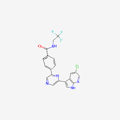 O=C(NCC(F)(F)F)c1ccc(-c2cncc(-c3c[nH]c4ncc(Cl)cc34)n2)cc1